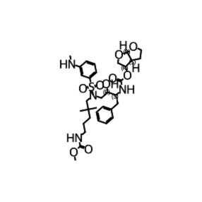 CNc1cccc(S(=O)(=O)N(C[C@@H](O)[C@H](Cc2ccccc2)NC(=O)O[C@H]2CO[C@H]3OCC[C@H]32)CC(C)(C)CCCNC(=O)OC)c1